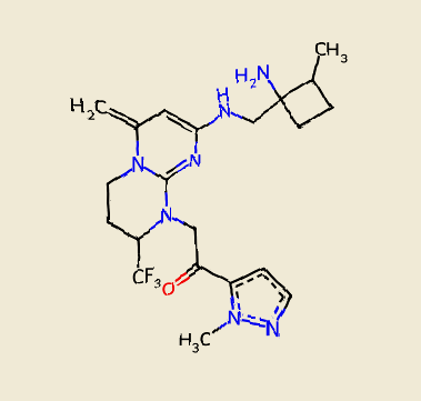 C=C1C=C(NCC2(N)CCC2C)N=C2N1CCC(C(F)(F)F)N2CC(=O)c1ccnn1C